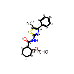 N#Cc1sc(NC(=O)C2CCCCC2OC=O)nc1-c1ccccc1